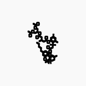 CCCCCc1cc(OC(=O)CC(C)(C)c2c(C)cc(C)cc2OC(=O)CC(C)CC(=O)OC(COC(C)=O)COC(C)=O)c2c(c1)OC(C)(C)[C@@H]1CCC(C)=C[C@@H]21